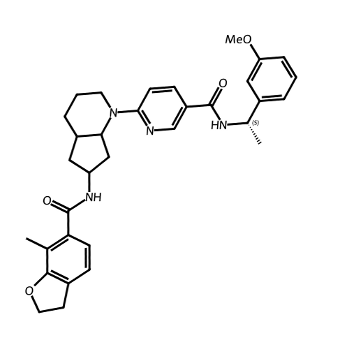 COc1cccc([C@H](C)NC(=O)c2ccc(N3CCCC4CC(NC(=O)c5ccc6c(c5C)OCC6)CC43)nc2)c1